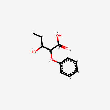 CCC(O)C(Oc1ccccc1)C(=O)O